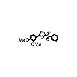 COc1ccc(C2CCC(S(=O)(=O)c3ccccc3)O2)cc1OC